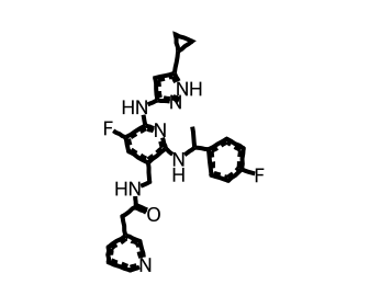 CC(Nc1nc(Nc2cc(C3CC3)[nH]n2)c(F)cc1CNC(=O)Cc1cccnc1)c1ccc(F)cc1